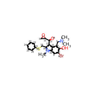 CN(C)Cc1c(O)c(Br)cc2c1c(C(=O)C1CO1)c(CSc1ccccc1)n2C